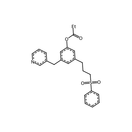 CCC(=O)Oc1cc(CCCS(=O)(=O)c2ccccc2)cc(Cc2cccnc2)c1